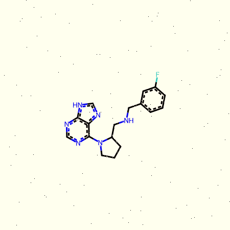 Fc1cccc(CNCC2CCCN2c2ncnc3[nH]cnc23)c1